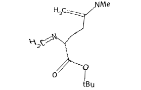 C=NC(CC(=C)NC)C(=O)OC(C)(C)C